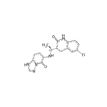 C[C@H](Nc1ccc2[nH]cnn2c1=O)c1cc2cc(Cl)ccc2[nH]c1=O